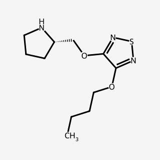 CCCCOc1nsnc1OC[C@@H]1CCCN1